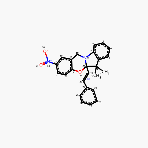 CC1(C)c2ccccc2N2Cc3cc([N+](=O)[O-])ccc3OC21/C=C/c1ccccc1